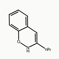 CCCC1=Cc2ccccc2ON1